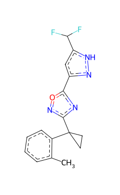 Cc1ccccc1C1(c2noc(-c3cc(C(F)F)[nH]n3)n2)CC1